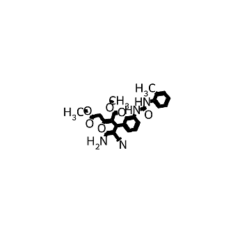 COC(=O)CC1=C(C(=O)OC)C(c2cccc(NC(=O)Nc3ccccc3C)c2)C(C#N)=C(N)O1